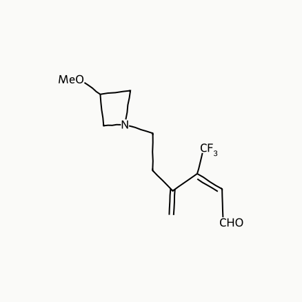 C=C(CCN1CC(OC)C1)/C(=C\C=O)C(F)(F)F